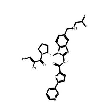 CC(C)/C=C(\C#N)C(=O)N1CCC[C@@H]1Cn1c(NC(=O)c2ccc(-c3cccnn3)s2)nc2cc(CNCC(F)F)ccc21